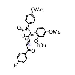 CCCCOc1cc(OC)ccc1[C@@H]1[C@@H](/C=C/C(=O)c2ccc(F)cc2)OC(=O)N1c1ccc(OC)cc1